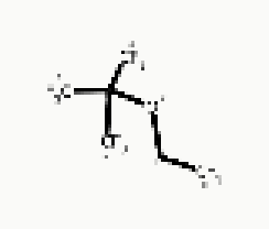 FC(F)(F)COC(C(F)(F)F)(C(F)(F)F)C(F)(F)F